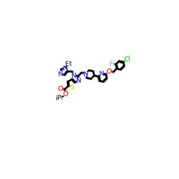 CCn1cncc1Cn1c(CN2CCC(c3cccc(OCc4ccc(Cl)cc4F)n3)CC2)nc2sc(C(=O)OC(C)C)cc21